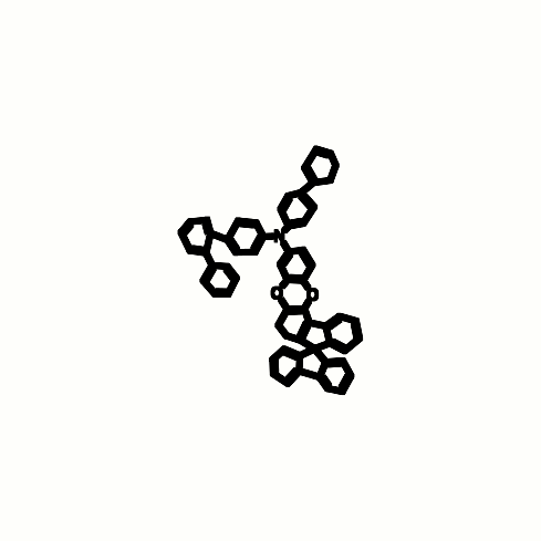 C1=CCCC(c2ccc(N(c3ccc(-c4ccccc4-c4ccccc4)cc3)c3ccc4c(c3)OC3=C(O4)C4=C(CC3)C3(c5ccccc54)c4ccccc4-c4ccccc43)cc2)=C1